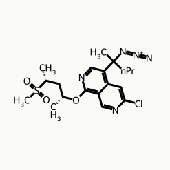 CCCC(C)(N=[N+]=[N-])c1cnc(O[C@H](C)C[C@@H](C)S(C)(=O)=O)c2cnc(Cl)cc12